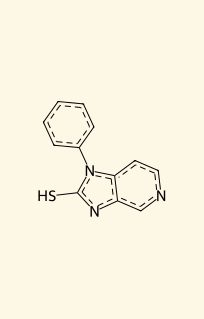 Sc1nc2cnccc2n1-c1ccccc1